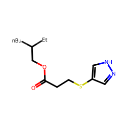 CCCCC(CC)COC(=O)CCSc1cn[nH]c1